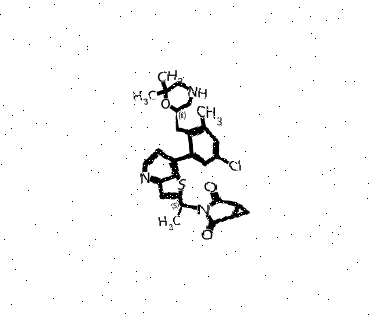 Cc1cc(Cl)cc(-c2ccnc3cc([C@H](C)N4C(=O)C5CC5C4=O)sc23)c1C[C@@H]1CNCC(C)(C)O1